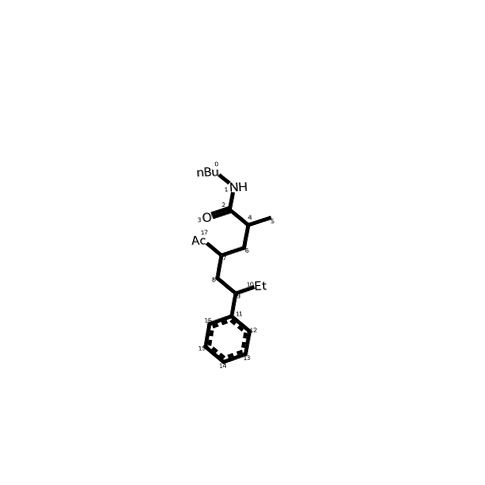 CCCCNC(=O)C(C)CC(CC(CC)c1ccccc1)C(C)=O